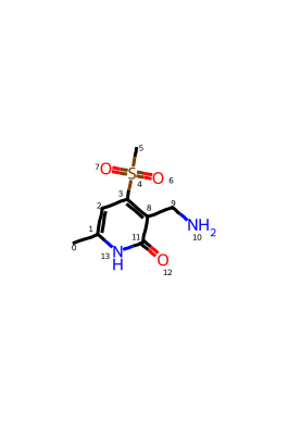 Cc1cc(S(C)(=O)=O)c(CN)c(=O)[nH]1